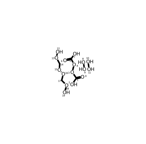 O=C(O)OOC(=O)O.OO.OO.OOCOOCOO